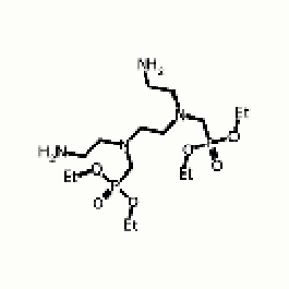 CCOP(=O)(CN(CCN)CCN(CCN)CP(=O)(OCC)OCC)OCC